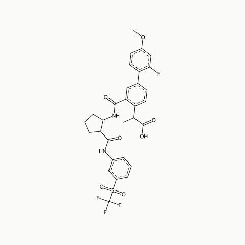 COc1ccc(-c2ccc(C(C)C(=O)O)c(C(=O)NC3CCCC3C(=O)Nc3cccc(S(=O)(=O)C(F)(F)F)c3)c2)c(F)c1